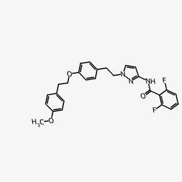 COc1ccc(CCOc2ccc(CCn3ccc(NC(=O)c4c(F)cccc4F)n3)cc2)cc1